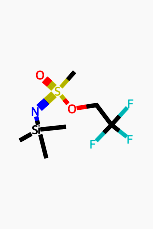 C[Si](C)(C)N=S(C)(=O)OCC(F)(F)F